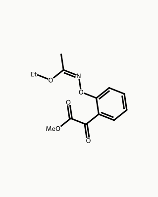 CCO/C(C)=N\Oc1ccccc1C(=O)C(=O)OC